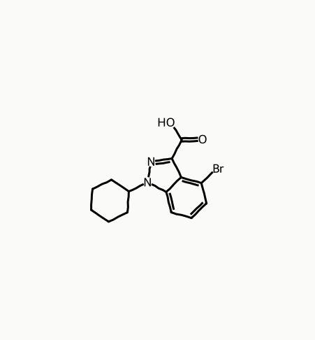 O=C(O)c1nn(C2CCCCC2)c2cccc(Br)c12